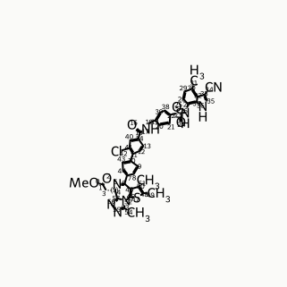 COC(=O)C[C@@H]1N=C(c2ccc(-c3ccc(C(=O)NCc4ccc(S(=O)(=O)Nc5ccc(C)c6c(C#N)c[nH]c56)cc4)cc3Cl)cc2)c2c(sc(C)c2C)-n2c(C)nnc21